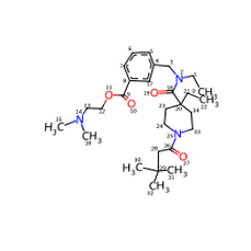 CCN(Cc1cccc(C(=O)OCCN(C)C)c1)C(=O)C1(CC)CCN(C(=O)CC(C)(C)C)CC1